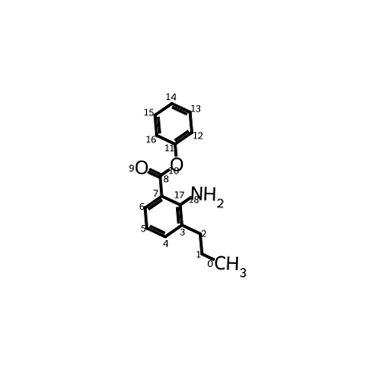 CCCc1cccc(C(=O)Oc2ccccc2)c1N